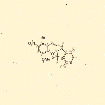 COc1cc([N+](=O)[O-])c(Br)c2c1OC1(C=C2)N(C)c2c(Cl)ccc(Cl)c2C1(C)C